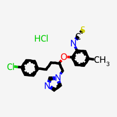 Cc1ccc(OC(CCc2ccc(Cl)cc2)Cn2ccnc2)c(N=C=S)c1.Cl